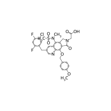 COc1ccc(COc2c3c(c(N(C)S(C)(=O)=O)c4cc(Cc5cc(Cl)c(F)cc5F)cnc24)CN(CC(=O)O)C3=O)cc1